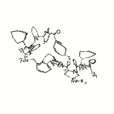 CC(C)C(=O)N[C@H](C(=O)N1C[C@@H](N)C[C@H]1C(=O)N[C@@H]1CCCc2c(CN[C@@H](C)C(=O)N[C@H](C(=O)N3CCCC3c3nc(C(=O)c4ccc(F)cc4)cs3)C3CCCCC3)cccc21)C1CCCCC1